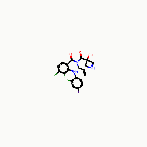 C=CCN(C(=O)c1ccc(F)c(F)c1Nc1ccc(I)cc1F)C(=O)C1(O)CNC1